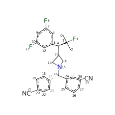 CC(C)(F)[C@H](c1cc(F)cc(F)c1)C1CN([C@@H](c2ccc(C#N)cc2)c2cccc(C#N)c2)C1